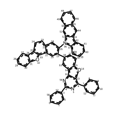 c1ccc(-c2nc(-c3ccccc3)c3oc4ccc(-c5cc6c(ccc7c8ccccc8oc67)cc5-n5c6ccccc6c6cc7ccccc7cc65)cc4c3n2)cc1